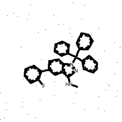 CNc1nn(C(c2ccccc2)(c2ccccc2)c2ccccc2)c2ccc(-c3ccccc3F)cc12